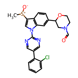 C[S+]([O-])c1cn(-c2ncc(-c3ccccc3Cl)cn2)c2cc(C3CN(C=O)CCO3)ccc12